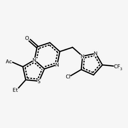 CCc1sc2nc(Cn3nc(C(F)(F)F)cc3Cl)cc(=O)n2c1C(C)=O